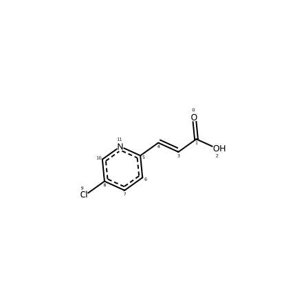 O=C(O)C=Cc1ccc(Cl)cn1